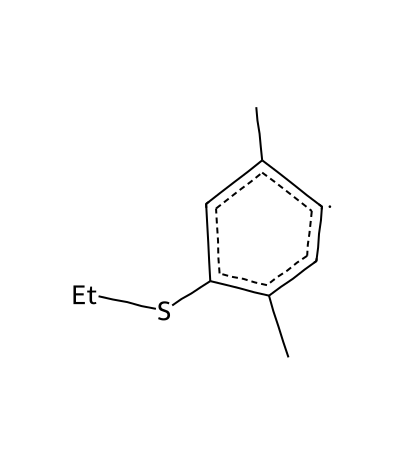 CCSc1cc(C)[c]cc1C